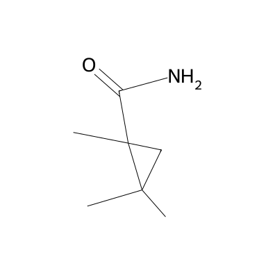 CC1(C)CC1(C)C(N)=O